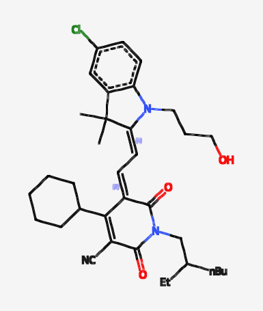 CCCCC(CC)CN1C(=O)C(C#N)=C(C2CCCCC2)/C(=C/C=C2/N(CCCO)c3ccc(Cl)cc3C2(C)C)C1=O